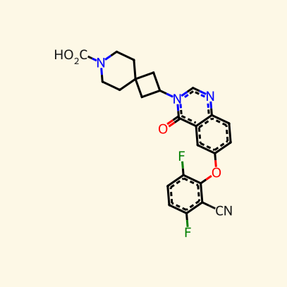 N#Cc1c(F)ccc(F)c1Oc1ccc2ncn(C3CC4(CCN(C(=O)O)CC4)C3)c(=O)c2c1